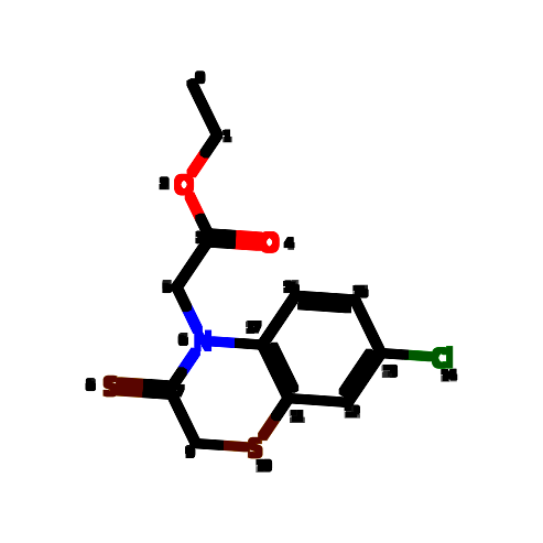 CCOC(=O)CN1C(=S)CSc2cc(Cl)ccc21